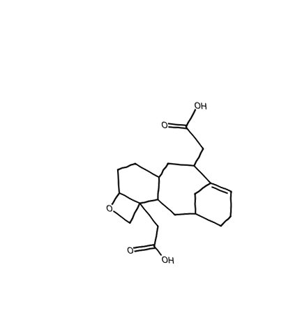 O=C(O)CC1CC2CCC3OCC3(CC(=O)O)C2CC2CCC=C1C2